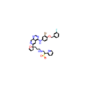 O=S(=O)=C(CNCCCC1(c2cc3c(Nc4ccc(OCc5cccc(F)c5)c(Br)c4)ncnc3cn2)CC=CO1)c1ccccn1